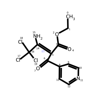 CCOC(=O)/C(C(=O)c1ccncc1)=C(\N)C(Cl)(Cl)Cl